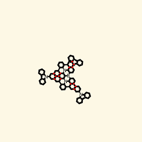 c1ccc(-c2cccc(-c3ccccc3)c2N2c3cc(-c4ccc(-n5c6ccccc6c6ccccc65)cc4)ccc3B3c4ccc(-n5c6ccccc6c6ccccc65)cc4N(c4c(-c5ccccc5)cccc4-c4ccccc4)c4cc(-c5ccc(-n6c7ccccc7c7ccccc76)cc5)cc2c43)cc1